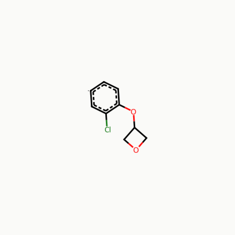 Clc1c[c]ccc1OC1COC1